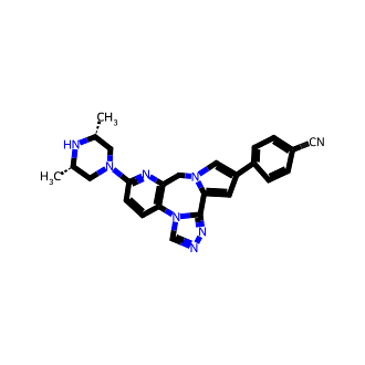 C[C@@H]1CN(c2ccc3c(n2)Cn2cc(-c4ccc(C#N)cc4)cc2-c2nncn2-3)C[C@H](C)N1